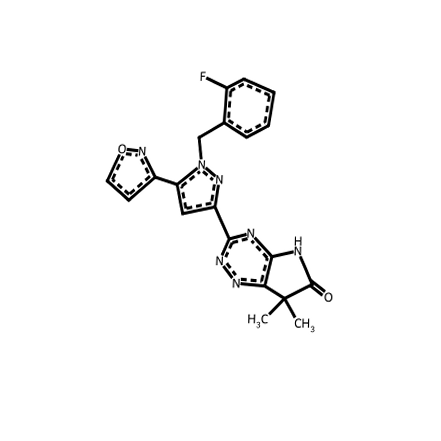 CC1(C)C(=O)Nc2nc(-c3cc(-c4ccon4)n(Cc4ccccc4F)n3)nnc21